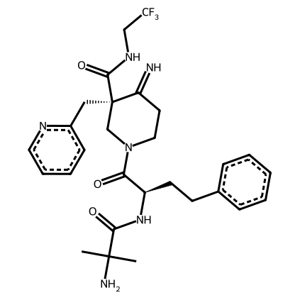 CC(C)(N)C(=O)N[C@H](CCc1ccccc1)C(=O)N1CCC(=N)[C@](Cc2ccccn2)(C(=O)NCC(F)(F)F)C1